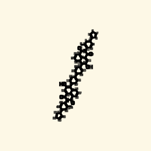 Cc1cc(C2=CCC=C2)ccc1N1C(=O)c2cccc3c(-c4ccc(-c5ccc(-c6c(O)cc7c8c(cccc68)C(=O)N(c6ccc(C8C=CC=C8)cc6C)C7=O)cc5)cc4)c(O)cc(c23)C1=O